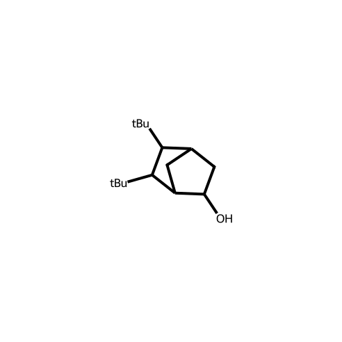 CC(C)(C)C1C2CC(O)C(C2)C1C(C)(C)C